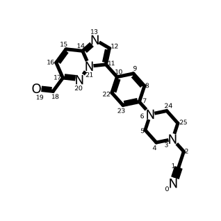 N#CCN1CCN(c2ccc(-c3cnc4ccc(C=O)nn34)cc2)CC1